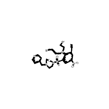 C#Cc1cc([N+](=O)[O-])cc(S(=O)(=O)N2CCN(Cc3ccncc3)CC2)c1N(CCBr)CCBr